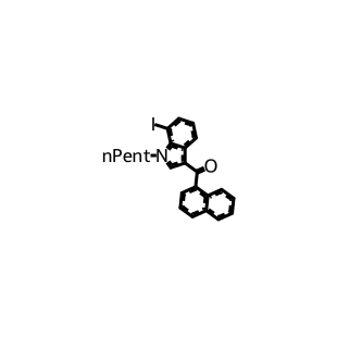 CCCCCn1cc(C(=O)c2cccc3ccccc23)c2cccc(I)c21